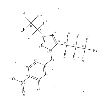 Cc1cc(Cn2nc(C(F)(F)C(F)(F)F)nc2C(F)(F)C(F)(F)C(F)(F)F)ccc1[N+](=O)[O-]